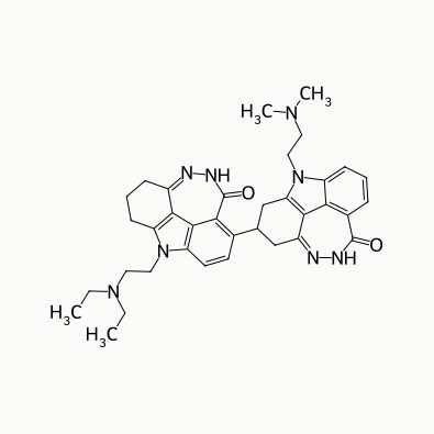 CCN(CC)CCn1c2c3c4c(c(C5CC6=NNC(=O)c7cccc8c7c6c(n8CCN(C)C)C5)ccc41)C(=O)NN=C3CCC2